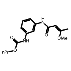 CCCOC(=O)Nc1cccc(NC(=O)/C=C(/C)OC)c1